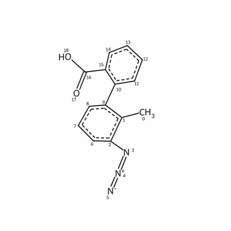 Cc1c(N=[N+]=[N-])cccc1-c1ccccc1C(=O)O